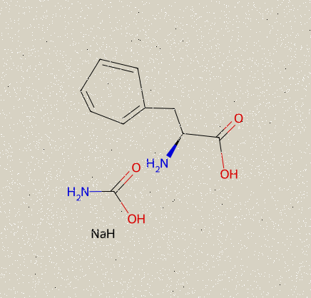 NC(=O)O.N[C@@H](Cc1ccccc1)C(=O)O.[NaH]